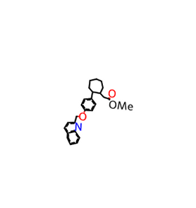 COC(=O)CC1CCCCCC1c1ccc(OCc2ccc3ccccc3n2)cc1